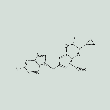 COc1cc(Cn2cnc3cc(I)cnc32)cc2c1OC(C1CC1)C(C)O2